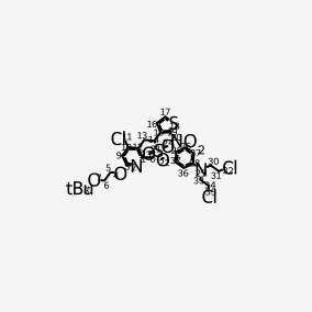 Cc1nc(OCCOC(C)(C)C)cc(Cl)c1CC(c1ccsc1[N+](=O)[O-])S(=O)(=O)Oc1ccc(N(CCCl)CCCl)cc1